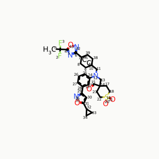 CC(F)(F)c1nc(C23CCC(CN(CC4(C=O)CCS(=O)(=O)CC4)c4cccc(-c5cc(C6CC6)on5)c4)(CC2)CC3)no1